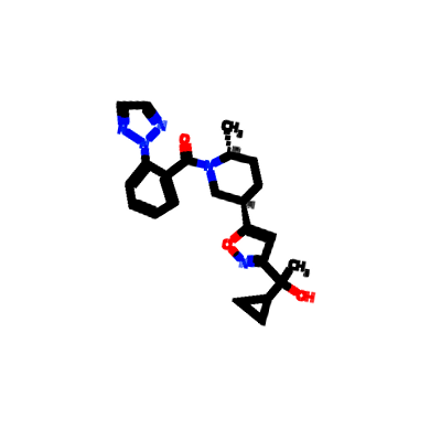 C[C@@H]1CC[C@@H](c2cc(C(C)(O)C3CC3)no2)CN1C(=O)c1ccccc1-n1nccn1